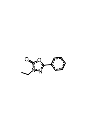 CCn1nc(-c2ccccc2)oc1=O